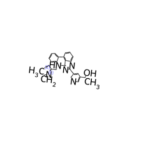 C=C/N=C(\C=C/C)CNc1nc(-c2cncc(C(C)O)c2)nc2cccc(-c3ccccc3)c12